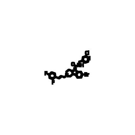 O=C(NCc1ccnc(Cl)c1)n1c2c(c3ccc(Br)cc31)CN(CC=Cc1ccc(F)cc1F)CC2